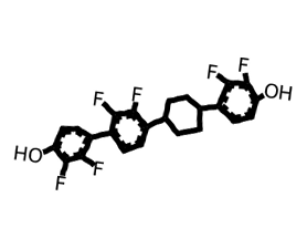 Oc1ccc(-c2ccc(C3CCC(c4ccc(O)c(F)c4F)CC3)c(F)c2F)c(F)c1F